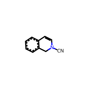 N#CN1C=Cc2ccccc2C1